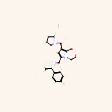 CC(C)[C@@H](NC(=O)c1cc(C(=O)N2CCC[C@@H]2C)c2n1CCOC2)c1ccc(F)cc1